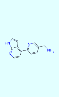 NCc1ccc(-c2ccnc3[nH]ccc23)nc1